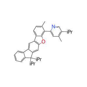 Cc1cc(-c2c(C)ccc3c2oc2cc4c(cc23)-c2ccccc2C4(C(C)C)C(C)C)ncc1C(C)C